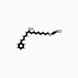 CC(CCC/C=C/CCCOC#CN=O)CCCCCc1ccccc1